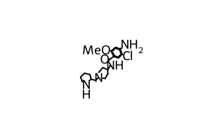 COc1cc(N)c(Cl)cc1C(=O)NC1CCN(CC2CCCCN2)CC1